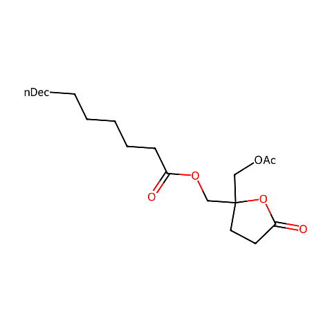 CCCCCCCCCCCCCCCC(=O)OCC1(COC(C)=O)CCC(=O)O1